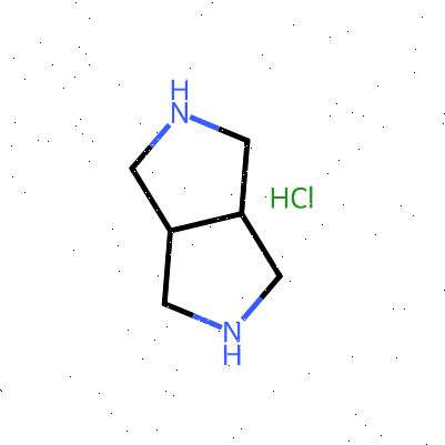 C1NCC2CNCC12.Cl